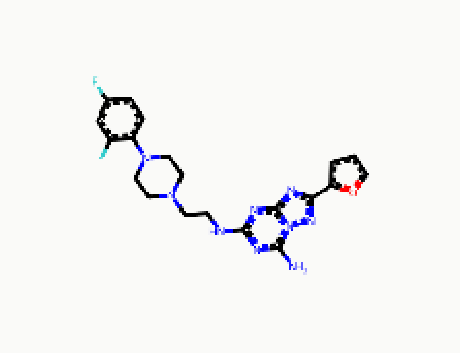 Nc1nc(NCCN2CCN(c3ccc(F)cc3F)CC2)nc2nc(-c3ccco3)nn12